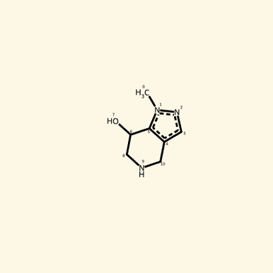 Cn1ncc2c1C(O)CNC2